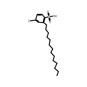 CCCCCCCCCCCCCCc1cc(Cl)ccc1S(=O)(=O)O